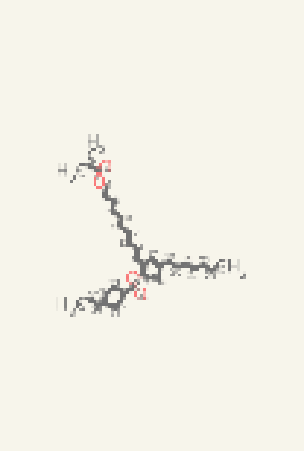 C=C(C)C(=O)OCCCCCCCCCCc1cc(CCCCCCC)ccc1OC(=O)C1CCC(CCC)CC1